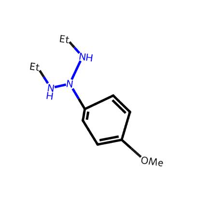 CCNN(NCC)c1ccc(OC)cc1